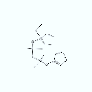 CC[Si](CC)(CC)OC(C)(C)C[Si](C)(C)OC1=CCCC1